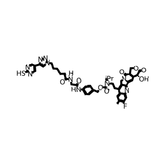 Cc1cc2c(CCN(C(=O)OCc3ccc(NC(=O)CNC(=O)CCCCCn4cc(-c5cnc(S)nc5)nn4)cc3)C(C)C)c3c(nc2cc1F)-c1cc2c(c(=O)n1C3)COC(=O)[C@H]2O